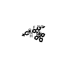 CCOc1ccc(-c2c(F)cc(NC(=O)N3CCC(C(C)(C)C)CC3)cc2-c2nnn(C(c3ccccc3)(c3ccccc3)c3ccccc3)n2)cn1